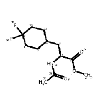 COC(=O)C(CC1CCC(F)(F)CC1)NC(C)=O